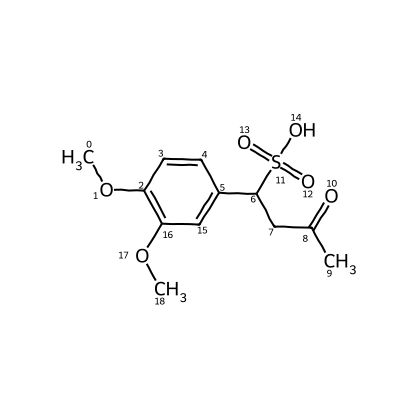 COc1ccc(C(CC(C)=O)S(=O)(=O)O)cc1OC